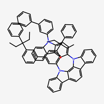 CCC(CC)(c1ccccc1)c1cccc(-c2cc(-n3c4ccccc4c4ccc5c6ccccc6n(-c6ccc7c(c6)c6ccccc6n7-c6cccc(-c7ccccc7)c6)c5c43)cc(C(CC)(CC)c3ccccc3)c2)c1